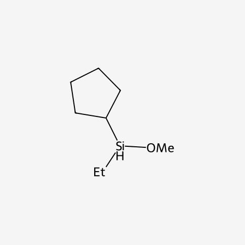 CC[SiH](OC)C1CCCC1